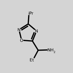 CCC(N)c1nc(C(C)C)no1